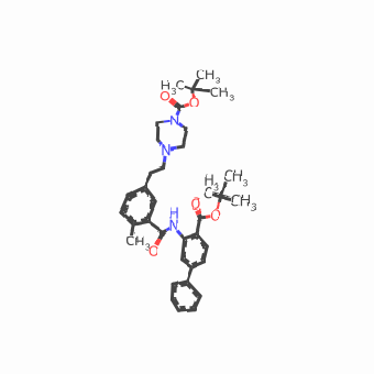 Cc1ccc(CCN2CCN(C(=O)OC(C)(C)C)CC2)cc1C(=O)Nc1cc(-c2ccccc2)ccc1C(=O)OC(C)(C)C